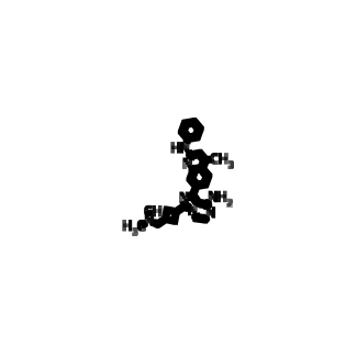 Cc1cc(Nc2ccccc2)nc2cc(-c3nc(C4CC(CN(C)C)C4)n4ccnc(N)c34)ccc12